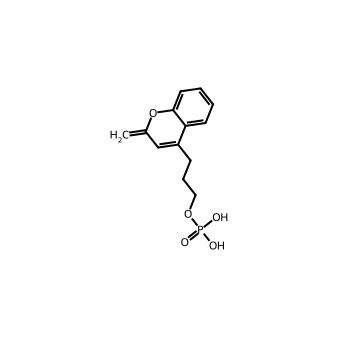 C=C1C=C(CCCOP(=O)(O)O)c2ccccc2O1